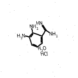 Cl.N=C(N)c1cccc(N)c1N.O